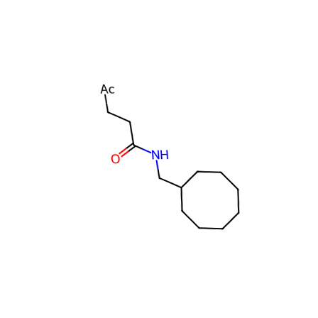 CC(=O)CCC(=O)NCC1CCCCCCC1